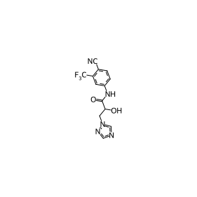 N#Cc1ccc(NC(=O)C(O)Cn2cncn2)cc1C(F)(F)F